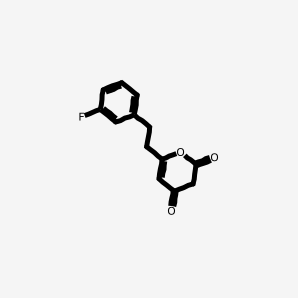 O=C1C=C(CCc2cccc(F)c2)OC(=O)C1